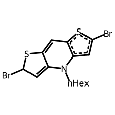 CCCCCCN1C2=CC(Br)SC2=Cc2sc(Br)cc21